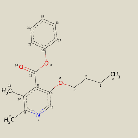 CCCCOc1cnc(C)c(C)c1C(=O)Oc1ccccc1